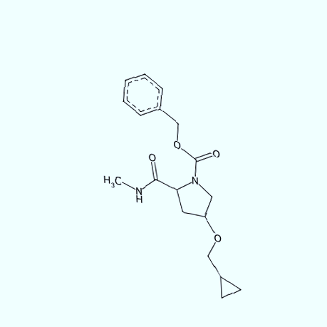 CNC(=O)C1CC(OCC2CC2)CN1C(=O)OCc1ccccc1